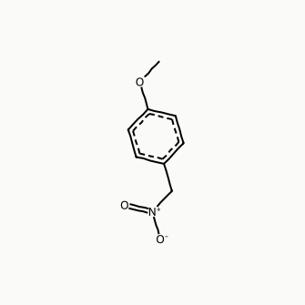 COc1ccc(C[N+](=O)[O-])cc1